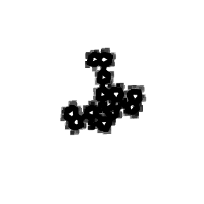 c1ccc2c(-c3ccc(-c4ccc(N(c5ccc(-c6cccc7ccccc67)c6sc7ccccc7c56)c5cccc6c5c5ccccc5n6-c5cccc6ccccc56)cc4)cc3)cccc2c1